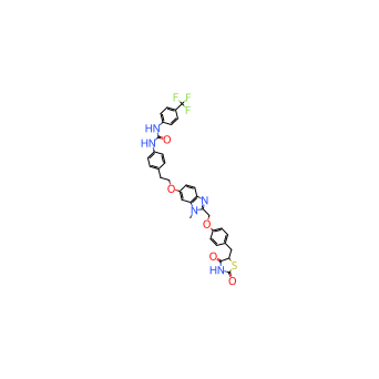 Cn1c(COc2ccc(CC3SC(=O)NC3=O)cc2)nc2ccc(OCCc3ccc(NC(=O)Nc4ccc(C(F)(F)F)cc4)cc3)cc21